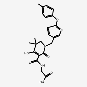 Cc1ccc(Oc2ccc(CN3CC(C)(C)C(O)=C(C(=O)NCC(=O)O)C3=O)cn2)cc1